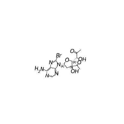 CC(=O)C(O)[C@H]1O[C@@H](n2c(Br)nc3c(N)ncnc32)C[C@@]1(O)C(C)=O